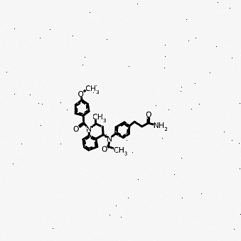 COc1ccc(C(=O)N2c3ccccc3C(N(C(C)=O)c3ccc(CCC(N)=O)cc3)CC2C)cc1